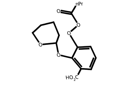 CCCC(=O)OOc1cccc(C(=O)O)c1OC1CCCCO1